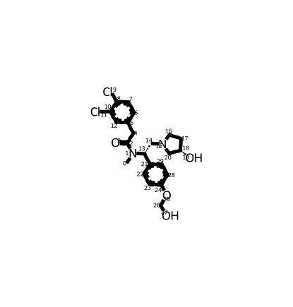 CN(C(=O)Cc1ccc(Cl)c(Cl)c1)[C@H](CN1CC[C@H](O)C1)c1ccc(OCO)cc1